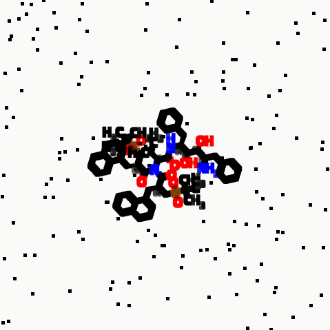 CC(C)[C@@H](C(=O)N[C@@H](Cc1ccccc1)[C@@H](O)[C@H](O)[C@@H](N)Cc1ccccc1)N(C(=O)[C@H](Cc1cccc2ccccc12)CS(=O)(=O)C(C)(C)C)C(=O)[C@H](Cc1cccc2ccccc12)CS(=O)(=O)C(C)(C)C